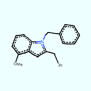 COc1cccc2c1cc(CC(C)C)n2Cc1ccccc1